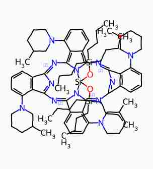 CCCC[Si](CCCC)(CCCC)O[Si]1(O[Si](CCCC)(CCCC)CCCC)n2c3c4cccc(N5CCCC(C)C5)c4c2/N=C2N=C(/N=c4/c5cccc(N6CCCC(C)C6)c5/c(n41)=N/C1=NC(=N\3)/c3c1cccc3N1CCCC(C)C1)c1c\2cccc1N1CCCC(C)C1